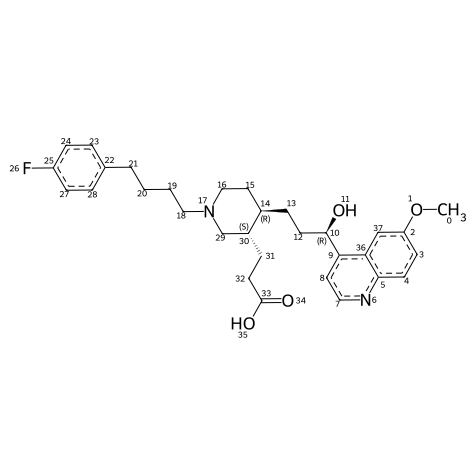 COc1ccc2nccc([C@H](O)CC[C@@H]3CCN(CCCCc4ccc(F)cc4)C[C@H]3CCC(=O)O)c2c1